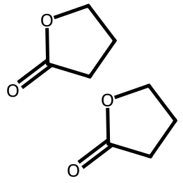 O=C1CCCO1.O=C1CCCO1